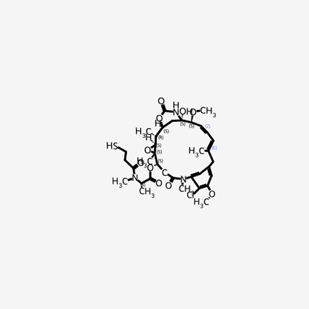 COc1cc2cc(c1Cl)N(C)C(=O)C[C@H](OC(=O)[C@H](C)N(C)C(=O)CCS)[C@]1(C)O[C@H]1[C@H](C)[C@@H]1C[C@@](O)(NC(=O)O1)[C@@H](OC)/C=C\C=C(/C)C2